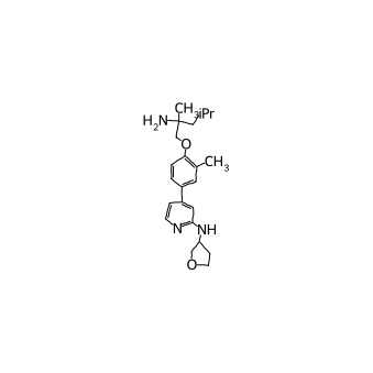 Cc1cc(-c2ccnc(NC3CCOC3)c2)ccc1OCC(C)(N)CC(C)C